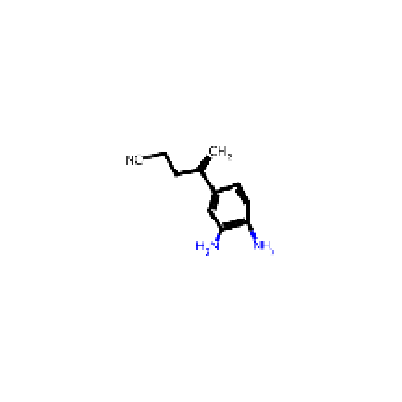 C=C(CCC#N)c1ccc(N)c(N)c1